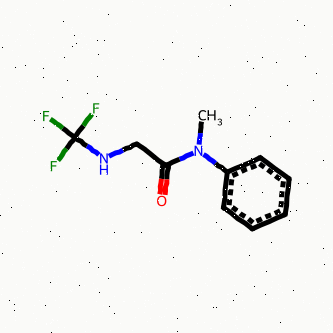 CN(C(=O)CNC(F)(F)F)c1ccccc1